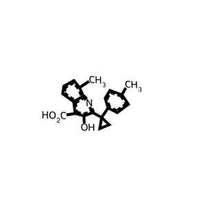 Cc1ccc(C2(c3nc4c(C)cccc4c(C(=O)O)c3O)CC2)cc1